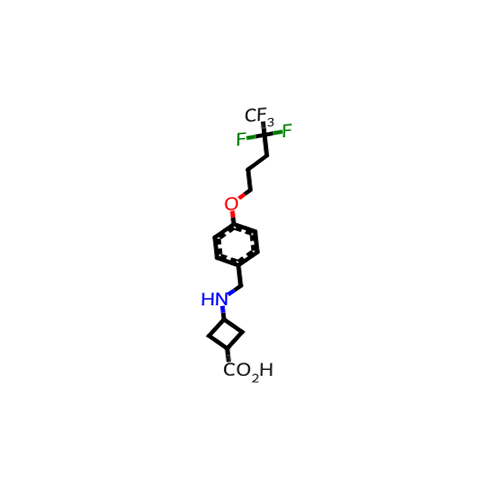 O=C(O)C1CC(NCc2ccc(OCCCC(F)(F)C(F)(F)F)cc2)C1